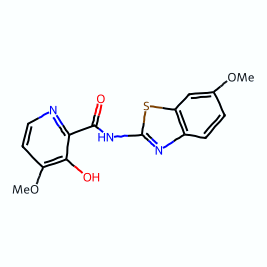 COc1ccc2nc(NC(=O)c3nccc(OC)c3O)sc2c1